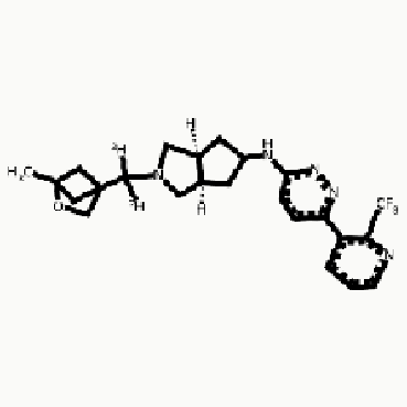 [2H]C([2H])(N1C[C@H]2CC(Nc3ccc(-c4cccnc4C(F)(F)F)nn3)C[C@H]2C1)C12COC(C)(C1)C2